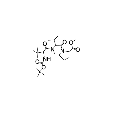 COC(=O)C1CCCN1C(=O)C(C(C)C)N(C)C(=O)C(NC(=O)OC(C)(C)C)C(C)(C)C